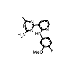 COc1cc(Nc2ncccc2-c2nc(C)nc(N)n2)ccc1F